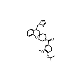 COc1cc(C(=O)N2CCC3(CC2)CC(Cn2cccn2)c2ccccc2O3)ccc1OC(C)C